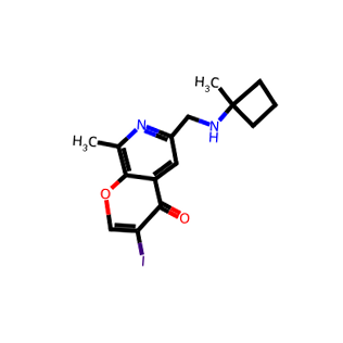 Cc1nc(CNC2(C)CCC2)cc2c(=O)c(I)coc12